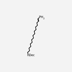 CCCCCCCCCCCCCCCCCCCCCCCCCC=CP